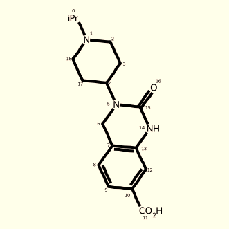 CC(C)N1CCC(N2Cc3ccc(C(=O)O)cc3NC2=O)CC1